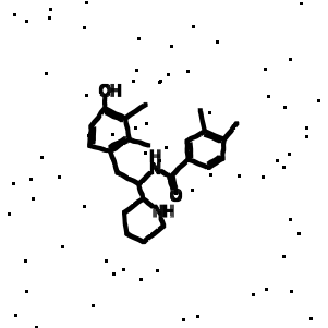 Cc1ccc(C(=O)NC(Cc2ccc(O)c(C)c2C)C2CCCCN2)cc1C